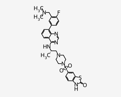 C[C@@H](CN1CCN(S(=O)(=O)c2ccc3[nH]c(=O)sc3c2)CC1)Nc1ncnc2c(-c3ccc(F)c(CN(C)C)c3)cccc12